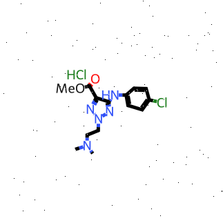 COC(=O)c1nn(CCN(C)C)nc1Nc1ccc(Cl)cc1.Cl